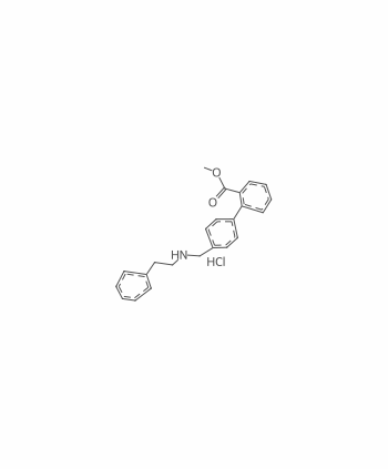 COC(=O)c1ccccc1-c1ccc(CNCCc2ccccc2)cc1.Cl